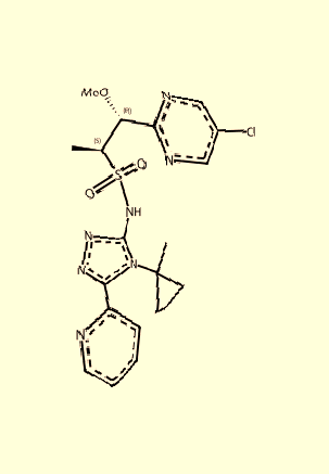 CO[C@H](c1ncc(Cl)cn1)[C@H](C)S(=O)(=O)Nc1nnc(-c2ccccn2)n1C1(C)CC1